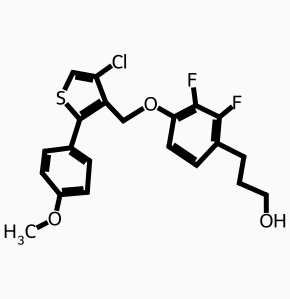 COc1ccc(-c2scc(Cl)c2COc2ccc(CCCO)c(F)c2F)cc1